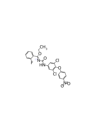 CCO/C(=N\C(=O)Nc1cc(Cl)c(Oc2ccc([N+](=O)[O-])cc2)c(Cl)c1)c1ccccc1F